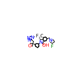 Cn1cnnc1CC1(c2cccc(N3Cc4c(cc(CN5CC[C@H](F)C5)cc4C(F)(F)F)C3O)c2)COC1